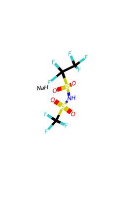 O=S(=O)(NS(=O)(=O)C(F)(F)C(F)(F)F)C(F)(F)F.[NaH]